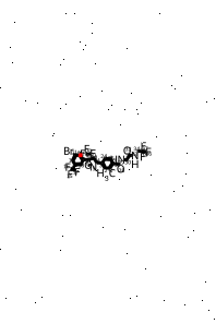 Cc1cc(C2=NO[C@](c3cc(Br)cc(C(F)(F)F)c3)(C(F)(F)F)C2)ccc1C(=O)NCC(=O)NCC(F)(F)F